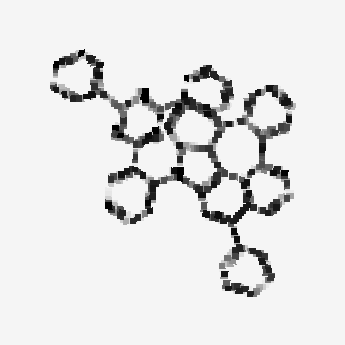 c1ccc(-c2nc(-c3ccccc3)nc(-c3ccccc3-n3c4cccc5c4c4c6c(cccc6c(-c6ccccc6)cc43)-c3ccccc3-5)n2)cc1